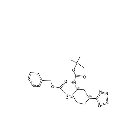 CC(C)(C)OC(=O)N[C@@H]1C[C@@H](c2nnco2)CC[C@@H]1NC(=O)OCc1ccccc1